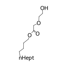 CCCCCCCCCCCOC(=O)COCCO